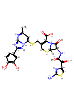 Cc1cc(SCC2=C(C(=O)O)N3C(=O)[C@@H](NC(=O)C(=O)c4csc(N)n4)[C@H]3SC2)n2nc(-c3ccc(O)c(O)c3)nc2n1